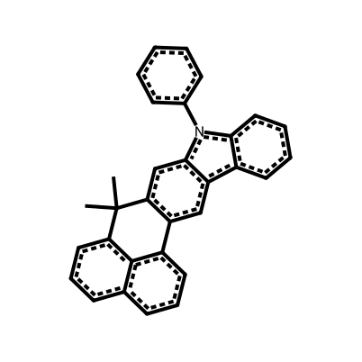 CC1(C)c2cc3c(cc2-c2cccc4cccc1c24)c1ccccc1n3-c1ccccc1